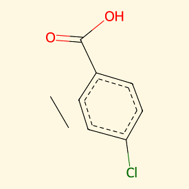 CC.O=C(O)c1ccc(Cl)cc1